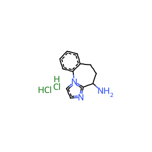 Cl.Cl.NC1CCc2ccccc2-n2ccnc21